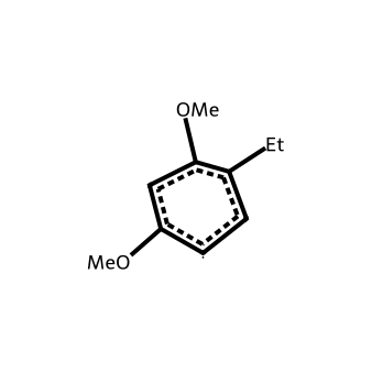 CCc1c[c]c(OC)cc1OC